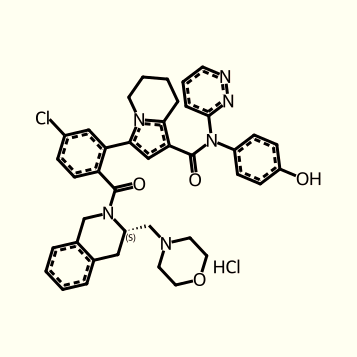 Cl.O=C(c1cc(-c2cc(Cl)ccc2C(=O)N2Cc3ccccc3C[C@H]2CN2CCOCC2)n2c1CCCC2)N(c1ccc(O)cc1)c1cccnn1